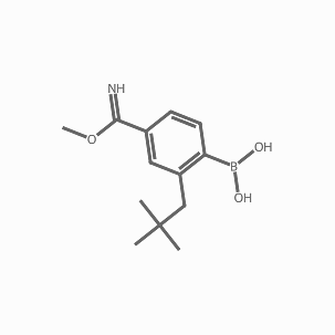 COC(=N)c1ccc(B(O)O)c(CC(C)(C)C)c1